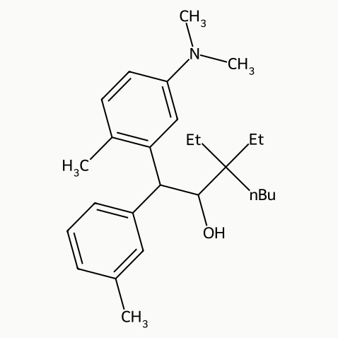 CCCCC(CC)(CC)C(O)C(c1cccc(C)c1)c1cc(N(C)C)ccc1C